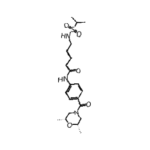 CC(C)S(=O)(=O)NCCCCC(=O)Nc1ccc(C(=O)N2C[C@@H](C)O[C@@H](C)C2)cc1